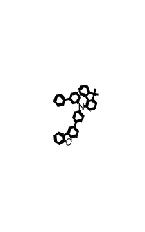 CC1(C)c2ccccc2-c2c(N(c3ccc(-c4ccc5oc6ccccc6c5c4)cc3)c3cccc(-c4ccccc4)c3)cccc21